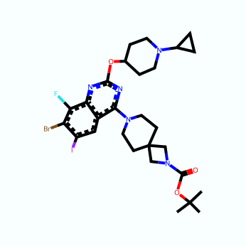 CC(C)(C)OC(=O)N1CC2(CCN(c3nc(OC4CCN(C5CC5)CC4)nc4c(F)c(Br)c(I)cc34)CC2)C1